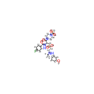 COc1ccc([C@@H]2C[C@@]2(C)NCCS(=O)(=O)C[C@@H](NC(=O)c2ccc(F)cc2)C(=O)N2CCN(S(C)(=O)=O)CC2)cc1